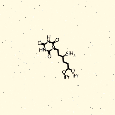 CC(C)OC(CCC([SiH3])CCn1c(=O)[nH]c(=O)[nH]c1=O)OC(C)C